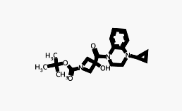 CC(C)(C)OC(=O)N1CC(O)(C(=O)N2CCN(C3CC3)c3ccccc32)C1